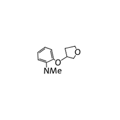 CNc1ccccc1OC1CCOC1